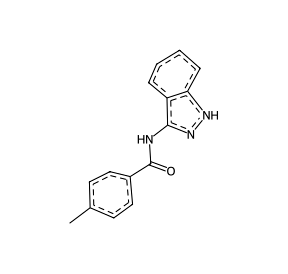 Cc1ccc(C(=O)Nc2n[nH]c3ccccc23)cc1